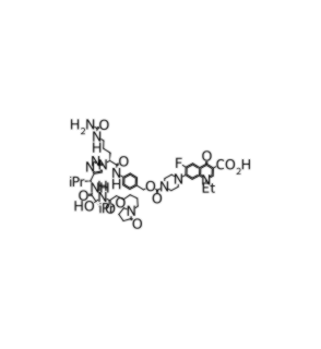 CCn1cc(C(=O)O)c(=O)c2cc(F)c(N3CCN(C(=O)OCc4ccc(NC(=O)[C@H](CCCNC(N)=O)n5cc([C@@H](NC(=O)[C@](O)(NC(=O)CCCCCN6C(=O)CCC6=O)C(C)C)C(C)C)nn5)cc4)CC3)cc21